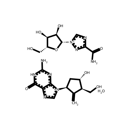 C=C1[C@H](CO)[C@@H](O)C[C@@H]1n1cnc2c(=O)[nH]c(N)nc21.NC(=O)c1ncn([C@@H]2O[C@H](CO)[C@@H](O)[C@H]2O)n1.O